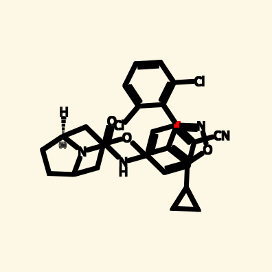 N#Cc1ccc(NC(=O)N2C3CC[C@H]2CC(OCc2c(-c4c(Cl)cccc4Cl)noc2C2CC2)C3)cc1